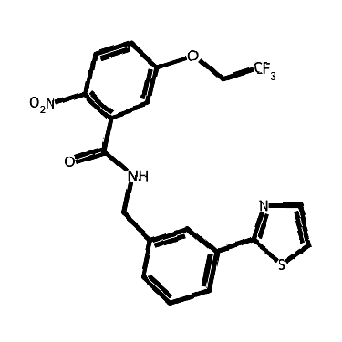 O=C(NCc1cccc(-c2nccs2)c1)c1cc(OCC(F)(F)F)ccc1[N+](=O)[O-]